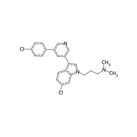 CN(C)CCCn1cc(-c2cncc(-c3ccc(Cl)cc3)c2)c2ccc(Cl)cc21